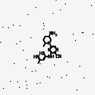 CC(=N)/C=C(\S)Nc1nc(N2CC(N)CCC2C)cnc1C#N